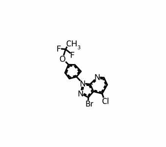 CC(F)(F)Oc1ccc(-n2nc(Br)c3c(Cl)ccnc32)cc1